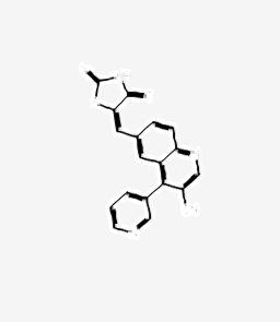 N#Cc1cnc2ccc(/C=C3/SC(=S)NC3=O)cc2c1-c1cccnc1